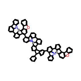 c1ccc(C2c3ccc(-c4ccc5c6c4c4ccccc4n6B4c6ccc7oc8ccccc8c7c6-c6cccc-5c64)cc3-c3c2ccc2c3-c3cccc4c3B2n2c3cccc(-c5cc6oc7ccccc7c6c6c5-c5cccc7c5B6n5c6ccccc6c6cccc-7c65)c3c3cccc-4c32)cc1